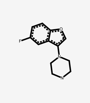 Fc1ccc2occ(N3CC[N]CC3)c2c1